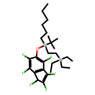 CCCCCC[Si](CC[Si](CC)(CC)CC)(Oc1c(F)c(F)c2c(c1F)C(F)=C(F)[C]2F)C(C)(C)C